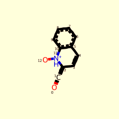 O=C=C1C=Cc2ccccc2[NH+]1[O-]